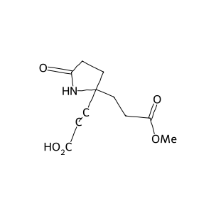 COC(=O)CCC1(CCC(=O)O)CCC(=O)N1